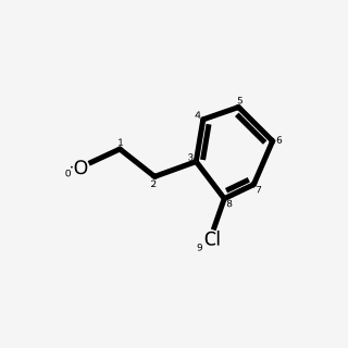 [O]CCc1ccccc1Cl